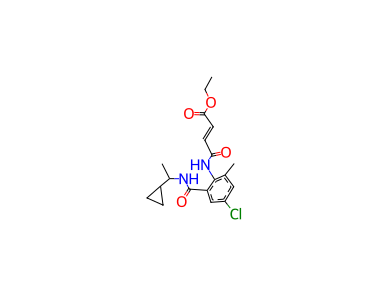 CCOC(=O)C=CC(=O)Nc1c(C)cc(Cl)cc1C(=O)NC(C)C1CC1